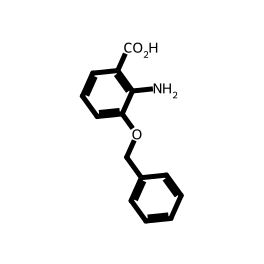 Nc1c(OCc2ccccc2)cccc1C(=O)O